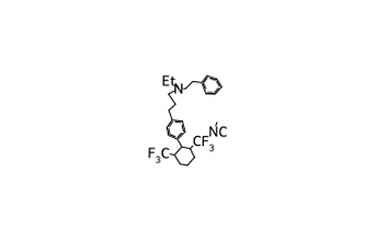 CC#N.CCN(CCCc1ccc(C2C(C(F)(F)F)CCCC2C(F)(F)F)cc1)CCc1ccccc1